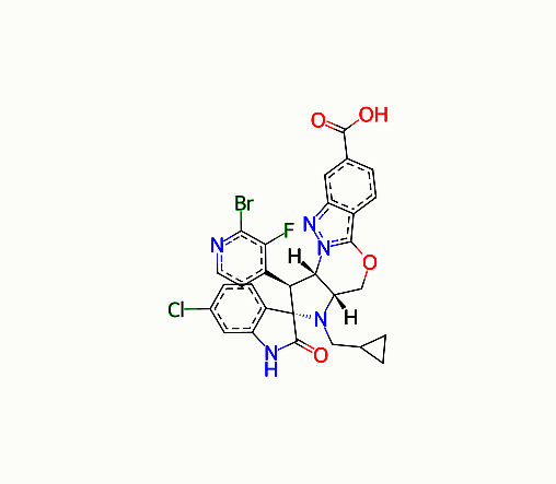 O=C(O)c1ccc2c3n(nc2c1)[C@@H]1[C@H](CO3)N(CC2CC2)[C@@]2(C(=O)Nc3cc(Cl)ccc32)[C@H]1c1ccnc(Br)c1F